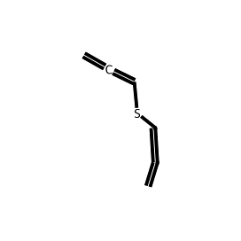 C=C=CSC=C=C